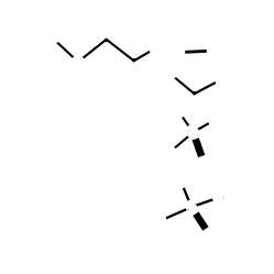 CC.CCC.CCCSC.OP(O)(O)=S.OP(O)(O)=S